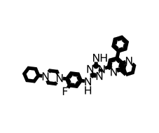 Nc1nc(Nc2ccc(N3CCN(C4CCCCC4)CC3)c(F)c2)nn1-c1cc(-c2ccccc2)c2c(n1)C1CCN2CC1